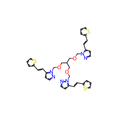 C(=C\c1ccnn1COCC(COCn1nccc1/C=C/c1cccs1)COCn1nccc1/C=C/c1cccs1)/c1cccs1